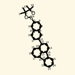 CC1(C)OB(c2ccc3cc(-c4ccc5c6c(cccc46)-c4ccccc4-5)ccc3c2)OC1(C)C